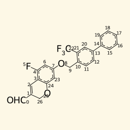 O=CC1=Cc2c(F)cc(OCc3ccc(-c4ccccc4)cc3C(F)(F)F)cc2OC1